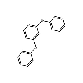 [c]1c(Sc2ccccc2)cccc1Sc1ccccc1